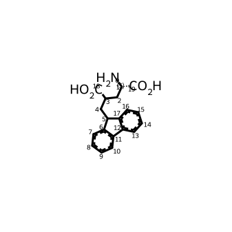 N[C@@H](CC(CC1c2ccccc2-c2ccccc21)C(=O)O)C(=O)O